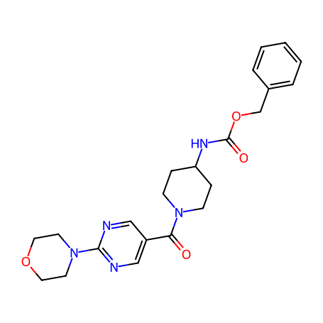 O=C(NC1CCN(C(=O)c2cnc(N3CCOCC3)nc2)CC1)OCc1ccccc1